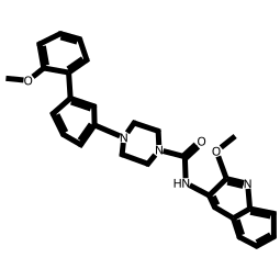 COc1ccccc1-c1cccc(N2CCN(C(=O)Nc3cc4ccccc4nc3OC)CC2)c1